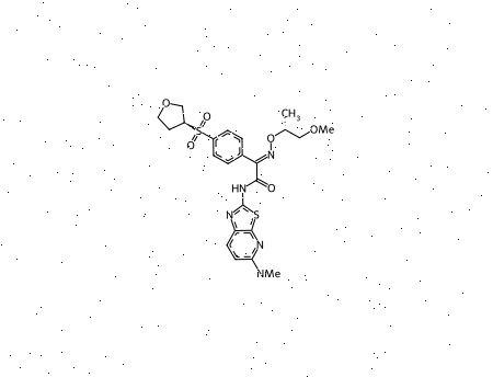 CNc1ccc2nc(NC(=O)/C(=N/O[C@H](C)COC)c3ccc(S(=O)(=O)[C@H]4CCOC4)cc3)sc2n1